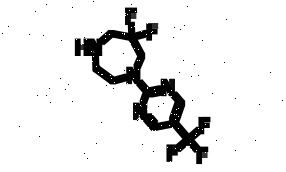 FC1(F)CNCCN(c2ncc(C(F)(F)F)cn2)C1